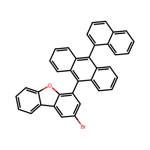 Brc1cc(-c2c3ccccc3c(-c3cccc4ccccc34)c3ccccc23)c2oc3ccccc3c2c1